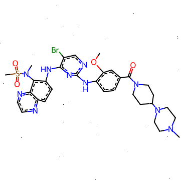 COc1cc(C(=O)N2CCC(N3CCN(C)CC3)CC2)ccc1Nc1ncc(Br)c(Nc2ccc3nccnc3c2N(C)S(C)(=O)=O)n1